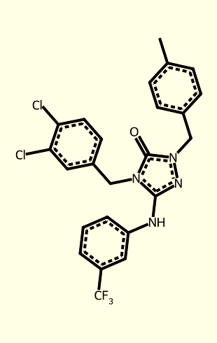 Cc1ccc(Cn2nc(Nc3cccc(C(F)(F)F)c3)n(Cc3ccc(Cl)c(Cl)c3)c2=O)cc1